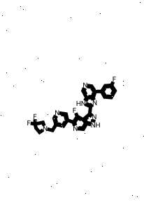 Fc1cccc(-c2cncc3[nH]c(-c4n[nH]c5cnc(-c6cncc(CN7CCC(F)(F)C7)c6)c(F)c45)nc23)c1